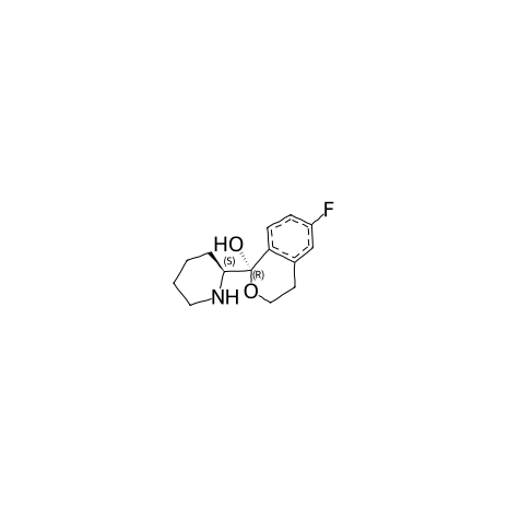 O[C@@]1([C@@H]2CCCCN2)OCCc2cc(F)ccc21